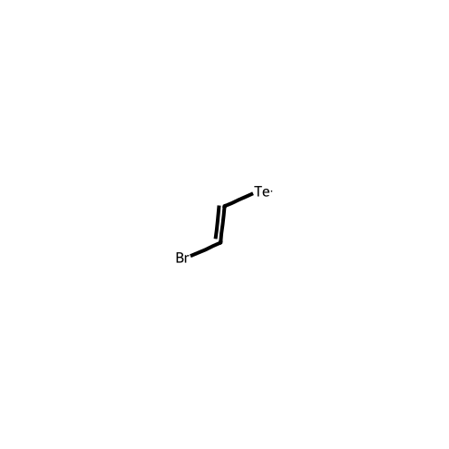 BrC=C[Te]